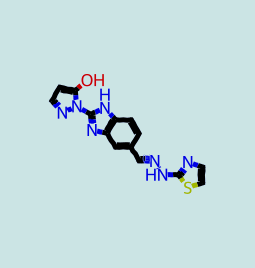 Oc1ccnn1-c1nc2cc(/C=N/Nc3nccs3)ccc2[nH]1